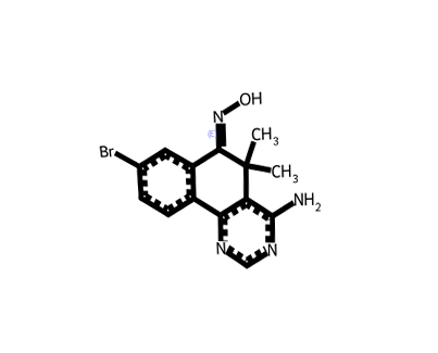 CC1(C)/C(=N\O)c2cc(Br)ccc2-c2ncnc(N)c21